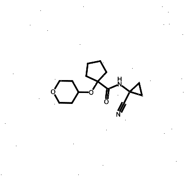 N#CC1(NC(=O)C2(OC3CCOCC3)CCCC2)CC1